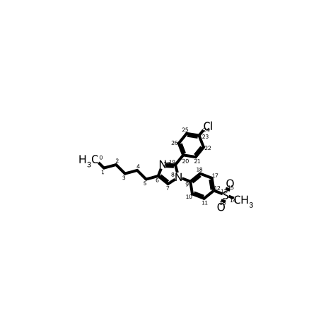 CCCCCCc1cn(-c2ccc(S(C)(=O)=O)cc2)c(-c2ccc(Cl)cc2)n1